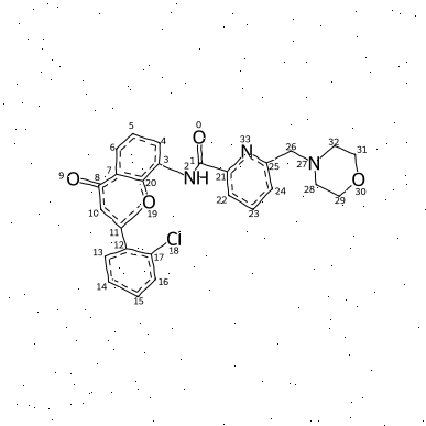 O=C(Nc1cccc2c(=O)cc(-c3ccccc3Cl)oc12)c1cccc(CN2CCOCC2)n1